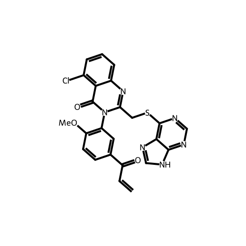 C=CC(=O)c1ccc(OC)c(-n2c(CSc3ncnc4[nH]cnc34)nc3cccc(Cl)c3c2=O)c1